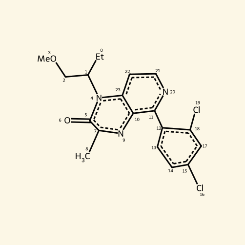 CCC(COC)n1c(=O)c(C)nc2c(-c3ccc(Cl)cc3Cl)nccc21